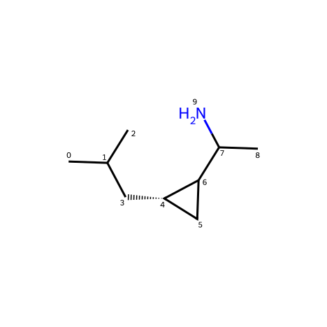 CC(C)C[C@H]1CC1C(C)N